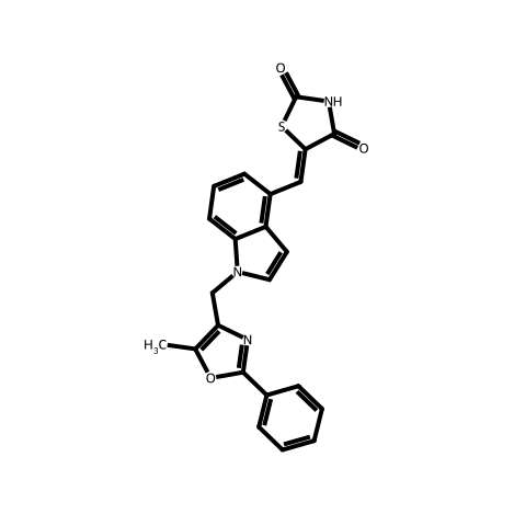 Cc1oc(-c2ccccc2)nc1Cn1ccc2c(/C=C3\SC(=O)NC3=O)cccc21